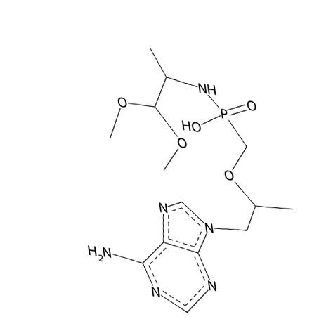 COC(OC)C(C)NP(=O)(O)COC(C)Cn1cnc2c(N)ncnc21